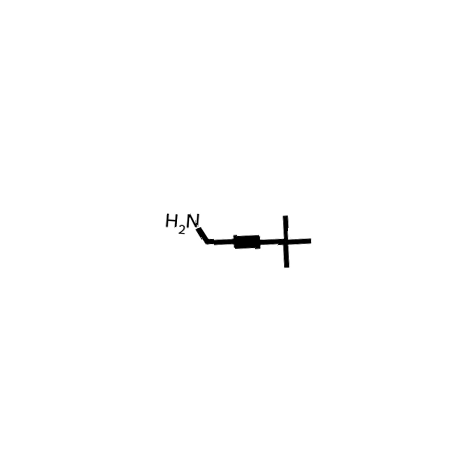 CC(C)(C)C#CCN